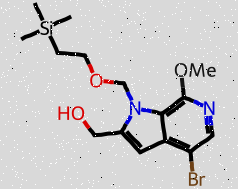 COc1ncc(Br)c2cc(CO)n(COCC[Si](C)(C)C)c12